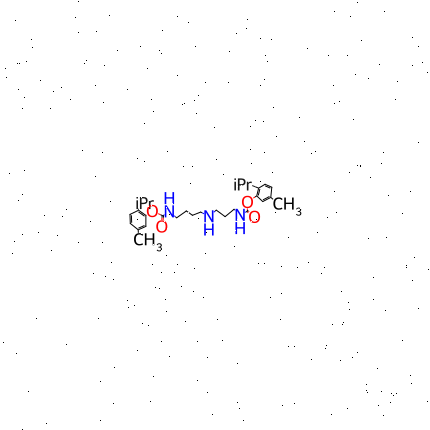 Cc1ccc(C(C)C)c(OC(=O)NCCCCNCCCNC(=O)Oc2cc(C)ccc2C(C)C)c1